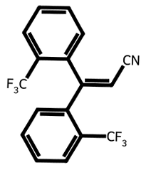 N#CC=C(c1ccccc1C(F)(F)F)c1ccccc1C(F)(F)F